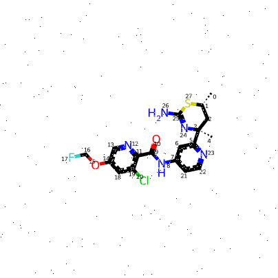 C[C@@H]1C[C@@](C)(c2cc(NC(=O)c3ncc(OCF)cc3Cl)ccn2)N=C(N)S1